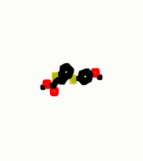 COC(=O)c1cc2c(Sc3ccc(OC)cc3)cccc2s1